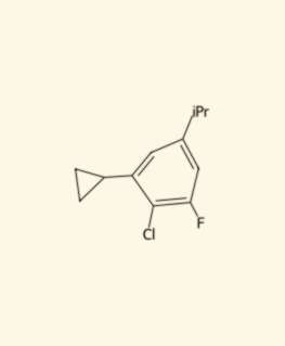 CC(C)c1cc(F)c(Cl)c(C2CC2)c1